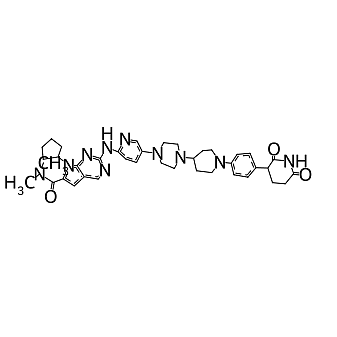 CN(C)C(=O)c1cc2cnc(Nc3ccc(N4CCN(C5CCN(c6ccc(C7CCC(=O)NC7=O)cc6)CC5)CC4)cn3)nc2n1C1CCCC1